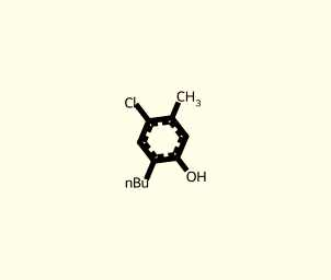 CCCCc1cc(Cl)c(C)cc1O